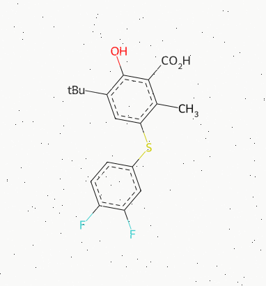 Cc1c(Sc2ccc(F)c(F)c2)cc(C(C)(C)C)c(O)c1C(=O)O